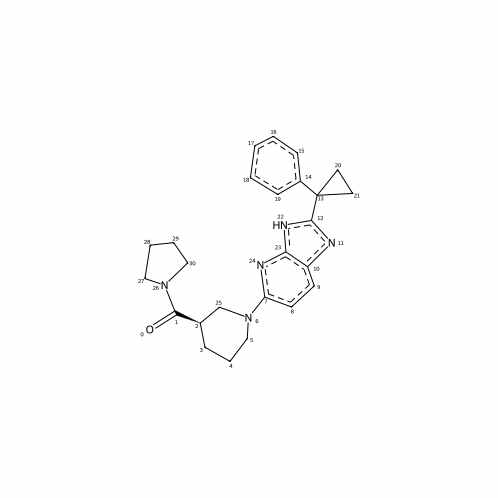 O=C([C@@H]1CCCN(c2ccc3nc(C4(c5ccccc5)CC4)[nH]c3n2)C1)N1CCCC1